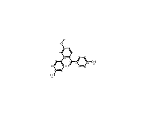 COc1ccc(C(=O)c2ccc(O)cc2)c(-c2ccc(O)cc2)c1